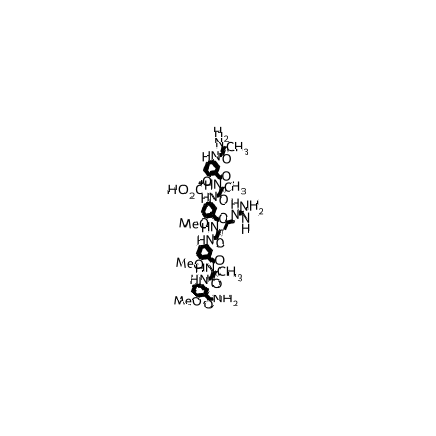 COc1ccc(NC(=O)[C@@H](C)NC(=O)c2cc(NC(=O)[C@@H](CCCNC(=N)N)NC(=O)c3cc(NC(=O)[C@@H](C)NC(=O)c4cc(NC(=O)[C@@H](C)N)ccc4OCC(=O)O)ccc3OC)ccc2OC)cc1C(N)=O